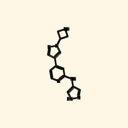 c1cc(-c2cnn(C3CNC3)c2)cc(Nc2cn[nH]c2)n1